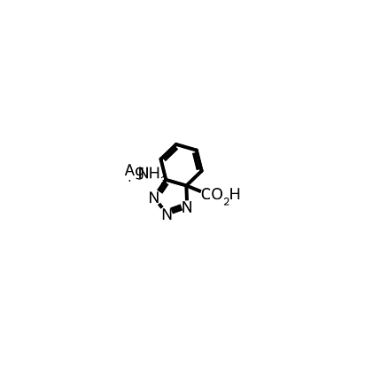 N.O=C(O)C12C=CC=CC1=NN=N2.[Ag]